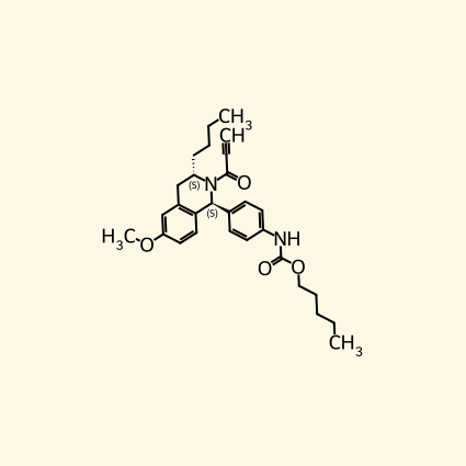 C#CC(=O)N1[C@@H](CCCC)Cc2cc(OC)ccc2[C@@H]1c1ccc(NC(=O)OCCCCC)cc1